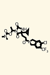 CC(OC(=O)N(C)C)N1C(=O)NC(CCC(=O)N2Cc3cc(Cl)c(C(F)(F)F)cc3C2)(C2CC2)C1=O